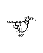 CNc1cc2nn3c(cnc13)C(=O)N[C@H](CO)COCc1cc(c3nnn(C)c3c1)N2